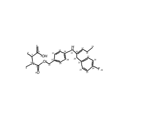 C=C(O)C(C)N(C)C(=O)OCc1ccc(N/C(=C/CC)Cc2ccc(F)cc2)cc1